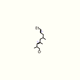 CC/C=C/CC(C)C/C(C)=C/C(C)C[O]